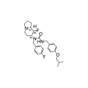 CC(C)COc1ccc(CNC(=O)N(Cc2ccc(F)cc2)[C@@H]2CCN3CCC[C@H]3[C@H]2F)cc1